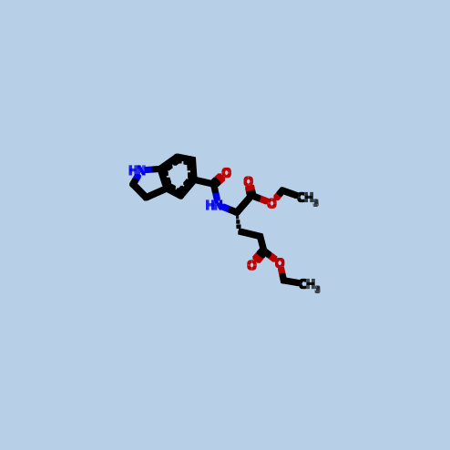 CCOC(=O)CC[C@H](NC(=O)c1ccc2c(c1)CCN2)C(=O)OCC